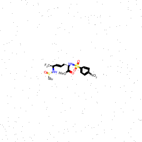 COC(=O)[C@H](C/C=C/[C@@H](N[S@@+]([O-])C(C)(C)C)C(F)(F)F)NS(=O)(=O)c1ccc([N+](=O)[O-])cc1